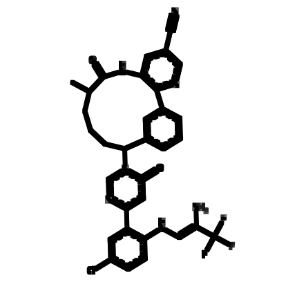 CC1CCCC(n2cnc(-c3cc(Cl)ccc3N/C=C(\N)C(F)(F)F)cc2=O)c2cccc(c2)-c2ncc(C#N)cc2NC1=O